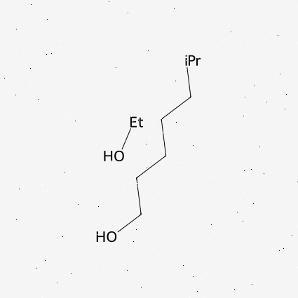 CC(C)CCCCCO.CCO